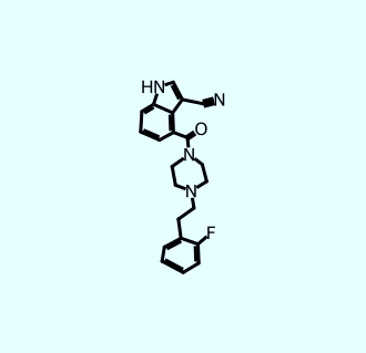 N#Cc1c[nH]c2cccc(C(=O)N3CCN(CCc4ccccc4F)CC3)c12